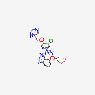 Clc1cc(Nc2ncnc3cccc(OC4CCOCC4)c23)ccc1OCc1cnccn1